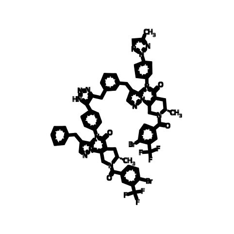 Cc1cnn(-c2ccc(-n3c(=O)c4c(n5ncc(Cc6cccc(Cc7nn[nH]c7-c7ccc(-n8c(=O)c9c(n%10ncc(Cc%11ccccc%11)c8%10)CN(C(=O)c8ccc(Br)c(C(F)(F)F)c8)[C@@H](C)C9)cc7)c6)c35)CN(C(=O)c3ccc(Br)c(C(F)(F)F)c3)[C@@H](C)C4)cc2)n1